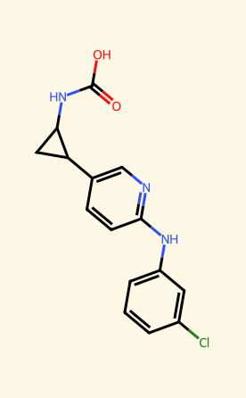 O=C(O)NC1CC1c1ccc(Nc2cccc(Cl)c2)nc1